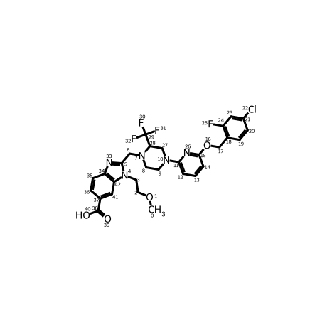 COCCn1c(CN2CCN(c3cccc(OCc4ccc(Cl)cc4F)n3)CC2C(F)(F)F)nc2ccc(C(=O)O)cc21